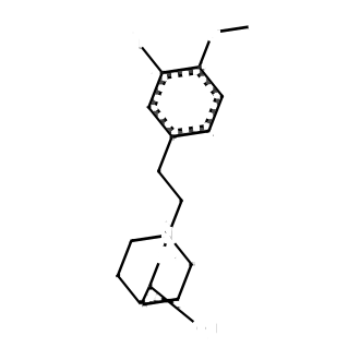 COc1ccc(CC[N+]23CCC(CC2)C(O)C3)cc1I